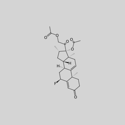 CC(=O)OCC(=O)[C@]1(OC(C)=O)[C@@H](C)C[C@H]2[C@@H]3C[C@H](F)C4=CC(=O)CC[C@]4(C)C3=CC[C@@]21C